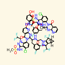 Cn1nc(NS(=O)(=O)CCOc2ccc3c(=O)n(-c4ccc(Cl)c5c(NS(C)(=O)=O)nn(CC(F)F)c45)c([C@H](Cc4cc(F)cc(F)c4)NC(=O)Cn4nc(C(F)F)c5c4C(F)(F)[C@@H]4C[C@H]54)nc3n2)c2c(Cl)ccc(-n3c([C@H](Cc4cc(F)cc(F)c4)NC(=O)Cc4c[nH]c5ccc(O)cc45)nc4ncccc4c3=O)c21